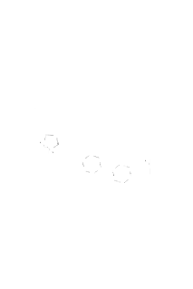 CCCc1nnc(C(Cc2ccc(-c3cccc(CNC)c3)cc2)OCC)o1